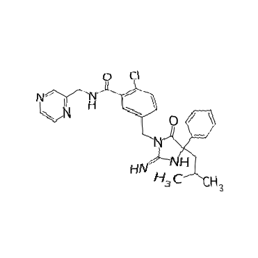 CC(C)CC1(c2ccccc2)NC(=N)N(Cc2ccc(Cl)c(C(=O)NCc3cnccn3)c2)C1=O